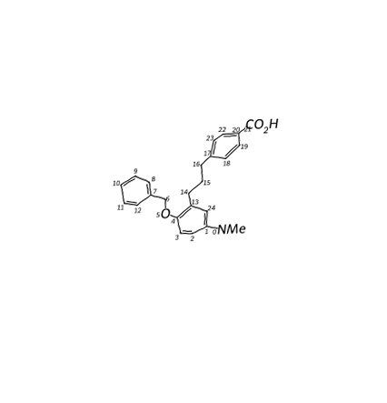 CNc1ccc(OCc2ccccc2)c(CCCc2ccc(C(=O)O)cc2)c1